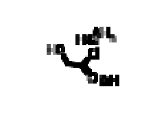 Br.O=C(Cl)CO.[AlH3].[NaH]